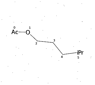 CC(=O)OCCCC(C)C